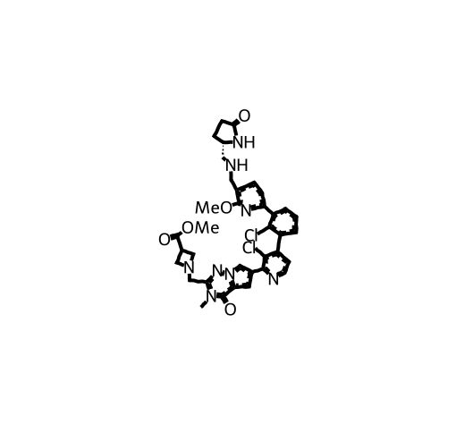 COC(=O)C1CN(Cc2nn3cc(-c4nccc(-c5cccc(-c6ccc(CNC[C@@H]7CCC(=O)N7)c(OC)n6)c5Cl)c4Cl)cc3c(=O)n2C)C1